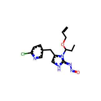 C=CCOC(CC)n1c(Cc2ccc(Cl)nc2)c[nH]c1=NN=O